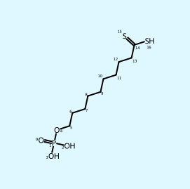 O=P(O)(O)OCCCCCCCCCC(=S)S